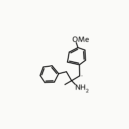 COc1ccc([CH]C(C)(N)Cc2ccccc2)cc1